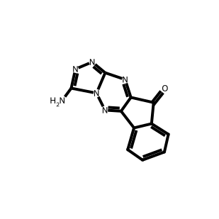 Nc1nnc2nc3c(nn12)-c1ccccc1C3=O